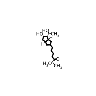 C[C@@H](O)[C@@H]1[C@H]2CC(CCCCC(=O)N(C)C)=C[C@H]2C[C@H]1O